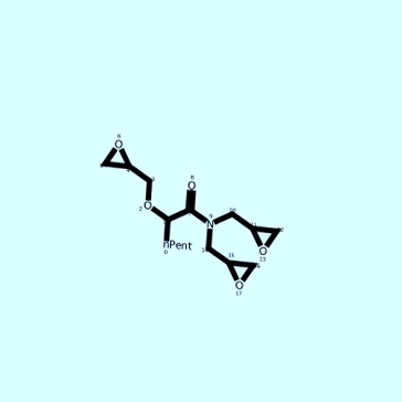 CCCCCC(OCC1CO1)C(=O)N(CC1CO1)CC1CO1